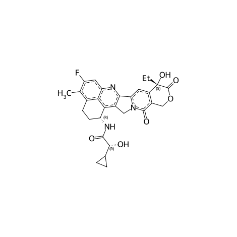 CC[C@@]1(O)C(=O)OCc2c1cc1n(c2=O)Cc2c-1nc1cc(F)c(C)c3c1c2[C@H](NC(=O)[C@H](O)C1CC1)CC3